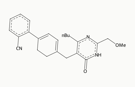 CCCCc1nc(COC)[nH]c(=O)c1CC1=CC=C(c2ccccc2C#N)CC1